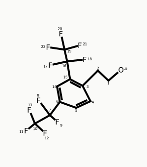 [O]CCc1ccc(C(F)(F)C(F)(F)F)cc1C(F)(F)C(F)(F)F